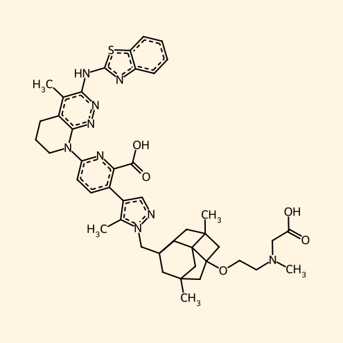 Cc1c(Nc2nc3ccccc3s2)nnc2c1CCCN2c1ccc(-c2cnn(CC34CC5(C)CC6(OCCN(C)CC(=O)O)CC(C)(C3)C6(C5)C4)c2C)c(C(=O)O)n1